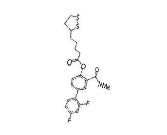 CNC(=O)c1cc(-c2ccc(F)cc2F)ccc1OC(=O)CCCCC1CCSS1